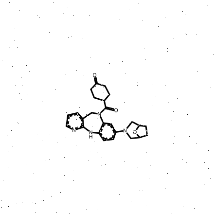 O=C1CCC(C(=O)N2Cc3cccnc3Nc3ccc(N4CC5CCC(C4)O5)cc32)CC1